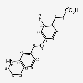 O=C(O)CCc1ccc(OCc2ccc3c(c2)NCCC3)cc1F